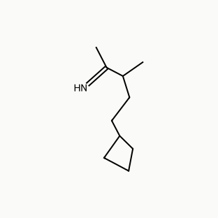 CC(=N)C(C)CCC1CCC1